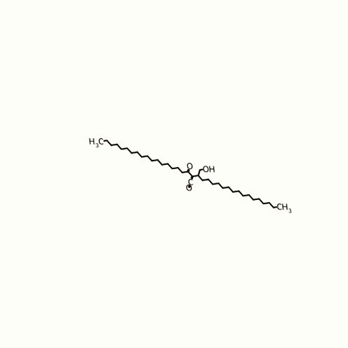 CCCCCCCCCCCCCCCCCC(=O)C(=C=O)C(CO)CCCCCCCCCCCCCCCC